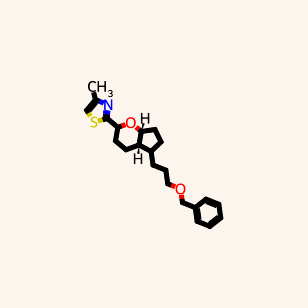 Cc1csc(C2CC[C@@H]3C(CCCOCc4ccccc4)CC[C@@H]3O2)n1